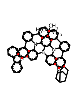 CC(C)(C)c1cc2c3c(c1)N(c1c(-c4ccccc4)cccc1-c1ccccc1)c1cc(-n4c5ccccc5c5ccccc54)ccc1B3c1ccc(N3C4CC5CC(C4)CC3C5)cc1N2c1c(-c2ccccc2)cccc1-c1ccccc1